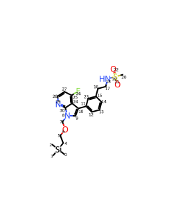 C[Si](C)(C)CCOCn1cc(-c2cccc(CCNS(C)(=O)=O)c2)c2c(F)ccnc21